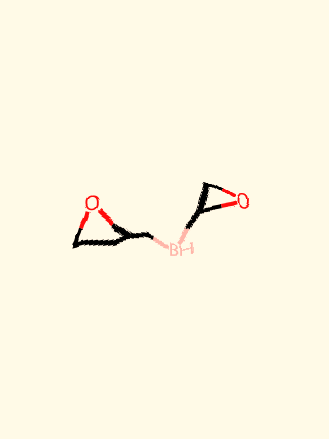 B(C1CO1)C1CO1